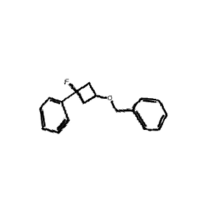 FC1(c2ccccc2)CC(OCc2ccccc2)C1